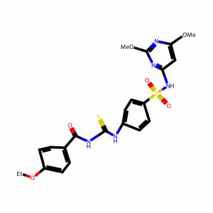 CCOc1ccc(C(=O)NC(=S)Nc2ccc(S(=O)(=O)Nc3cc(OC)nc(OC)n3)cc2)cc1